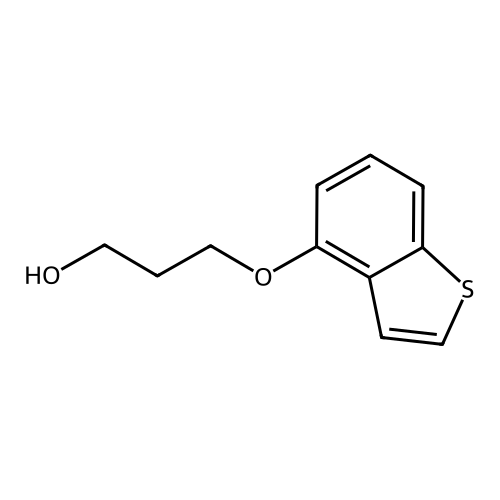 OCCCOc1cccc2sccc12